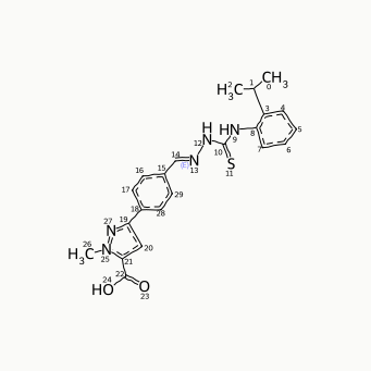 CC(C)c1ccccc1NC(=S)N/N=C/c1ccc(-c2cc(C(=O)O)n(C)n2)cc1